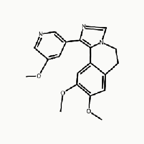 COc1cncc(-c2ncn3c2-c2cc(OC)c(OC)cc2CC3)c1